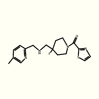 Cc1ccc(CNCC2(F)CCN(C(=O)c3nccs3)CC2)nc1